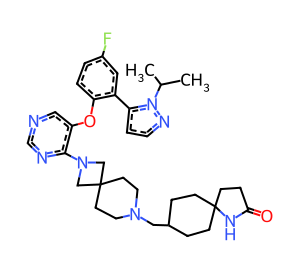 CC(C)n1nccc1-c1cc(F)ccc1Oc1cncnc1N1CC2(CCN(CC3CCC4(CCC(=O)N4)CC3)CC2)C1